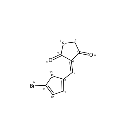 O=C1CSC(=O)C1=Cc1ccc(Br)s1